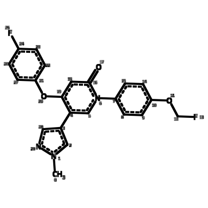 Cn1cc(-c2cn(-c3ccc(OCF)cc3)c(=O)cc2Oc2ccc(F)cc2)cn1